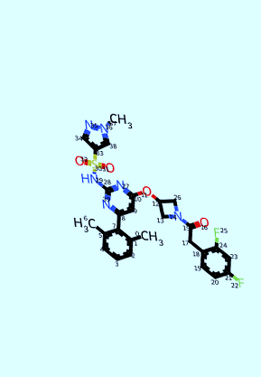 Cc1cccc(C)c1-c1cc(OC2CN(C(=O)Cc3ccc(F)cc3F)C2)nc(NS(=O)(=O)c2cnn(C)c2)n1